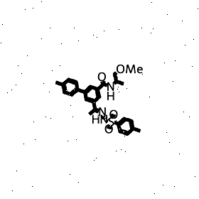 COCC(C)NC(=O)c1cc(/C(C)=N/NS(=O)(=O)c2ccc(C)cc2)cc(-c2ccc(C)cc2)c1